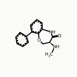 CN[C@H]1COc2c(cccc2-c2ccccc2)NC1=O